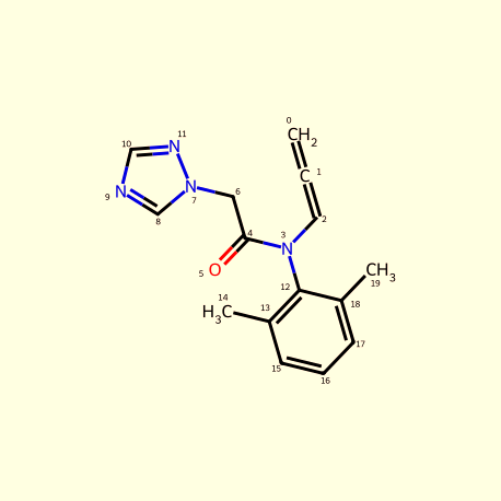 C=C=CN(C(=O)Cn1cncn1)c1c(C)cccc1C